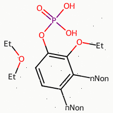 CCCCCCCCCc1ccc(OP(=O)(O)O)c(OCC)c1CCCCCCCCC.CCOCC